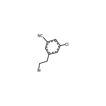 N#Cc1cc(Cl)cc(CCBr)c1